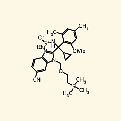 COc1cc(C)cc(C)c1C(N[S+]([O-])C(C)(C)C)(c1nc2ccc(C#N)cc2n1COCC[Si](C)(C)C)C1CC1